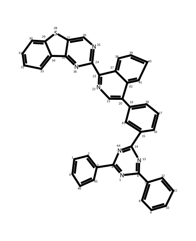 c1ccc(-c2nc(-c3ccccc3)nc(-c3cccc(-c4cnc(-c5ncc6sc7ccccc7c6n5)c5ccccc45)c3)n2)cc1